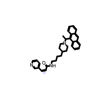 CC(c1c2ccccc2cc2ccccc12)N1CCC(CCCCNC(=O)/C=C\c2cccnc2)CC1